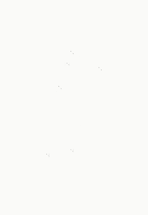 N#C/C(NN)=C(/N)c1cccc(OCc2cnccn2)c1